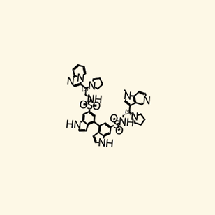 Cn1cc([C@@H](CNS(=O)(=O)c2cc(-c3cc(S(=O)(=O)NC[C@@H](c4cnc5ccccn45)N4CCCC4)cc4[nH]ccc34)c3cc[nH]c3c2)N2CCCC2)c2cnccc21